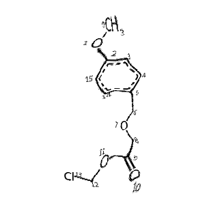 COc1ccc(COCC(=O)OCCl)cc1